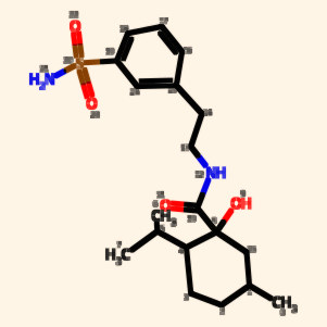 CC1CCC(C(C)C)C(O)(C(=O)NCCc2cccc(S(N)(=O)=O)c2)C1